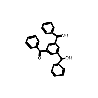 N=C(c1ccccc1)c1cc(C(=O)c2ccccc2)cc(C(O)c2ccccc2)c1